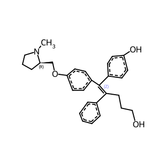 CN1CCC[C@@H]1COc1ccc(/C(=C(/CCCO)c2ccccc2)c2ccc(O)cc2)cc1